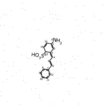 NC1=CC(=CC=Cc2ccccc2)C(S(=O)(=O)O)C=C1